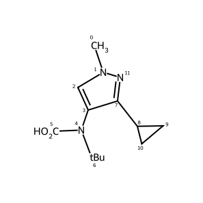 Cn1cc(N(C(=O)O)C(C)(C)C)c(C2CC2)n1